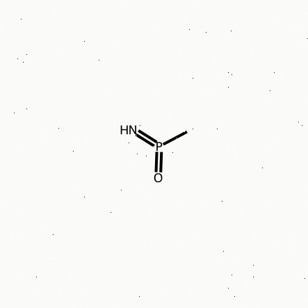 CP(=N)=O